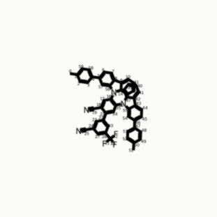 Cc1ccc(-c2ccc3c4ccccc4n(-c4cc(C#N)c(-c5cc(C#N)cc(C(F)(F)F)c5)cc4-n4c5ccccc5c5ccc(-c6ccc(C)cc6)cc54)c3c2)cc1